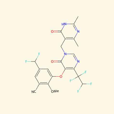 COc1c(C#N)cc(C(F)F)cc1Oc1c(C(F)(F)C(F)F)ncn(Cc2c(C)nc(C)[nH]c2=O)c1=O